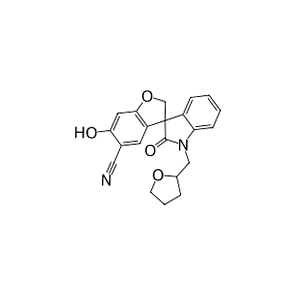 N#Cc1cc2c(cc1O)OCC21C(=O)N(CC2CCCO2)c2ccccc21